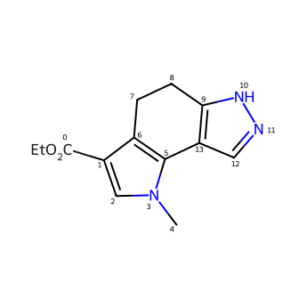 CCOC(=O)c1cn(C)c2c1CCc1[nH]ncc1-2